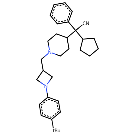 CC(C)(C)c1ccc(N2CC(CN3CCC(C(C#N)(c4ccccc4)C4CCCC4)CC3)C2)cc1